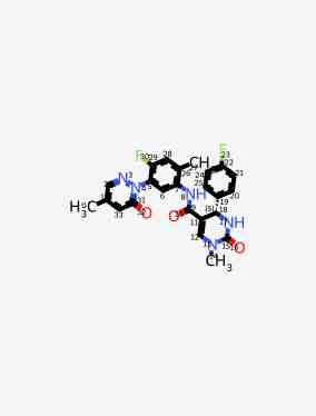 Cc1cnn(-c2cc(NC(=O)C3=CN(C)C(=O)N[C@H]3c3ccc(F)cc3)c(C)cc2F)c(=O)c1